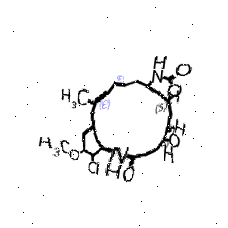 COC1CC2C/C(C)=C/C=C/CC3C[C@@H](C[C@@H]4O[C@H]4CCC(=O)NC(C2)C1Cl)OC(=O)N3